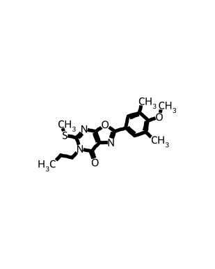 CCCn1c(SC)nc2oc(-c3cc(C)c(OC)c(C)c3)nc2c1=O